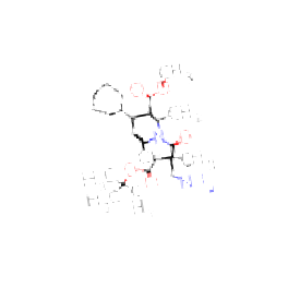 COC(=O)C1=C(C)N(C(=O)C(C)(CN)CC(=O)OC(C)(C)C)C(C)=CC1C1CCCCC1